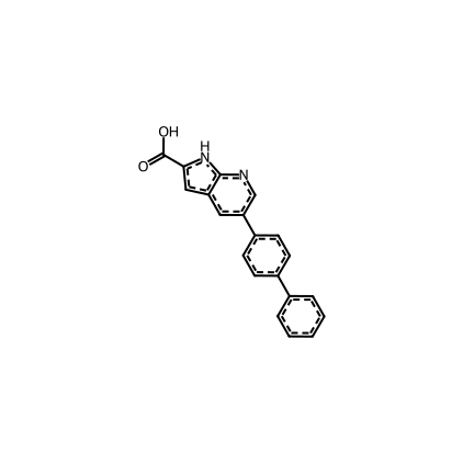 O=C(O)c1cc2cc(-c3ccc(-c4ccccc4)cc3)cnc2[nH]1